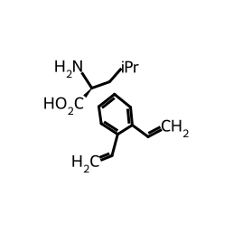 C=Cc1ccccc1C=C.CC(C)C[C@H](N)C(=O)O